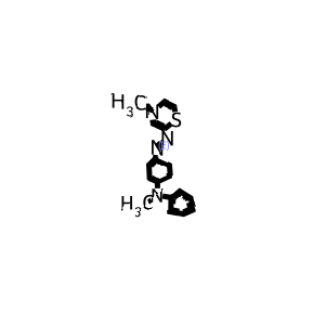 CN1C=CSC(/N=N/C2=CC=C(N(C)c3ccccc3)CC2)=C1